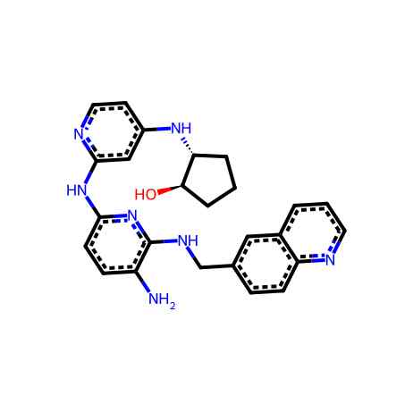 Nc1ccc(Nc2cc(N[C@@H]3CCC[C@H]3O)ccn2)nc1NCc1ccc2ncccc2c1